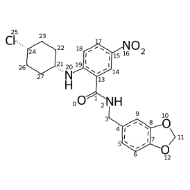 O=C(NCc1ccc2c(c1)OCO2)c1cc([N+](=O)[O-])ccc1N[C@H]1CC[C@@H](Cl)CC1